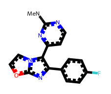 CNc1nccc(-c2c(-c3ccc(F)cc3)nc3occn23)n1